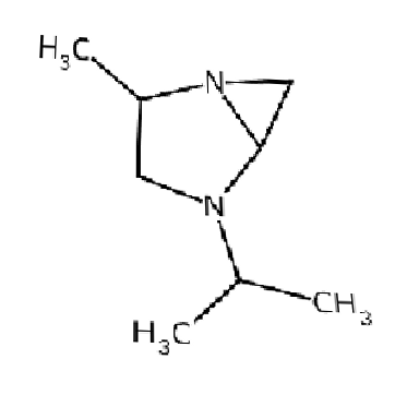 CC(C)N1CC(C)N2CC12